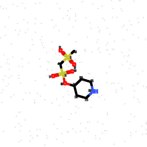 CS(=O)(=O)CS(=O)(=O)OC1CCNCC1